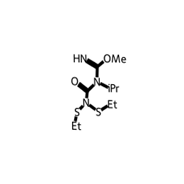 CCSN(SCC)C(=O)N(C(=N)OC)C(C)C